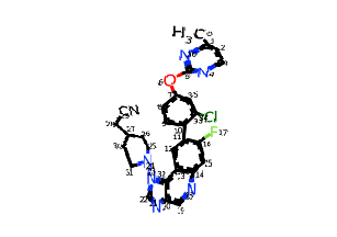 Cc1ccnc(Oc2ccc(-c3cc4c(cc3F)ncc3ncn(N5CCC(CC#N)CC5)c34)c(Cl)c2)n1